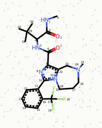 CNC(=O)C(NC(=O)c1nc(-c2ccccc2C(F)(F)F)n2c1CN(C)CCC2)C(C)(C)C